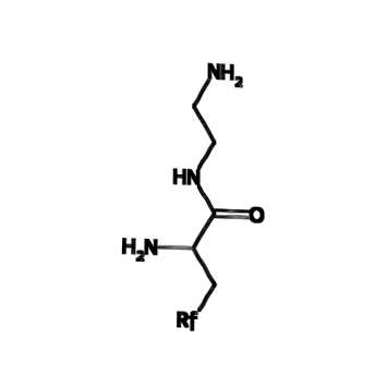 NCCNC(=O)C(N)[CH2][Rf]